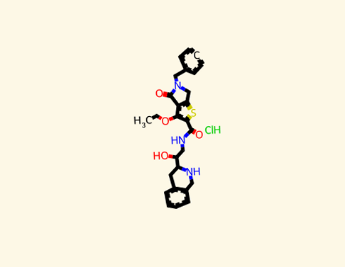 CCOc1c(C(=O)NCC(O)C2Cc3ccccc3CN2)sc2c1C(=O)N(Cc1ccccc1)C2.Cl